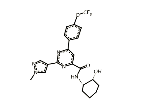 Cn1cc(-c2nc(C(=O)N[C@H]3CCCC[C@H]3O)cc(-c3ccc(OC(F)(F)F)cc3)n2)cn1